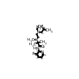 CCN(CCN(C)C(C)(C)C(=O)Nc1ncccc1F)CC(C)C